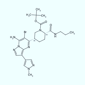 CCCNC(=O)[C@@H]1CC[C@H](c2nc3c(-c4cnn(C)c4)cnn3c(N)c2Br)CN1C(=O)OC(C)(C)C